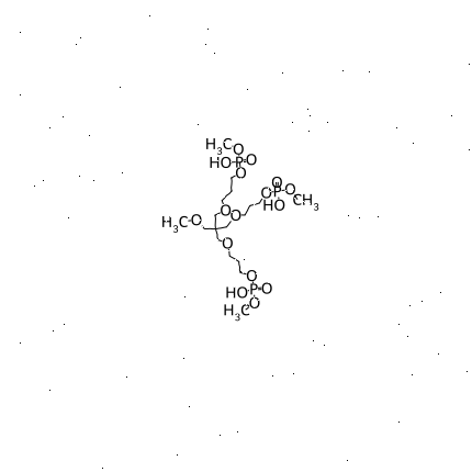 COCC(COCCCOP(=O)(O)OC)(COCCCOP(=O)(O)OC)COCCCOP(=O)(O)OC